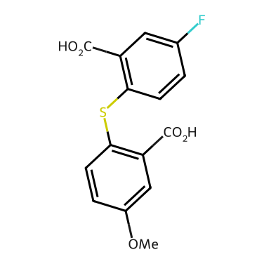 COc1ccc(Sc2ccc(F)cc2C(=O)O)c(C(=O)O)c1